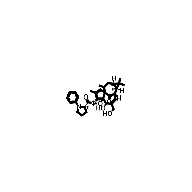 CC1=CC23C(=O)[C@@H](C=C(CO)[C@@H](O)[C@]2(O)[C@H]1OC(=O)[C@@H]1CCCN1c1ccccc1)[C@H]1[C@@H](CC3C)C1(C)C